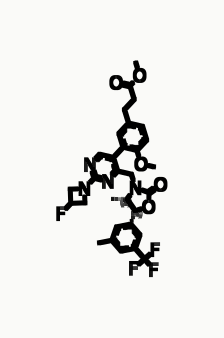 COC(=O)CCc1ccc(OC)c(-c2cnc(N3CC(F)C3)nc2CN2C(=O)O[C@H](c3cc(C)cc(C(F)(F)F)c3)[C@@H]2C)c1